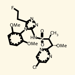 COc1cccc(OC)c1-n1c(CCF)nnc1NS(=O)(=O)[C@@H](C)[C@H](OC)c1ncc(Cl)cn1